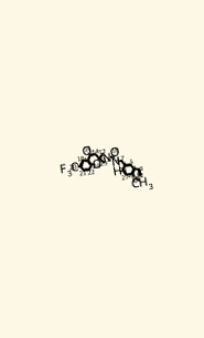 Cn1ccc2cc(CNC(=O)N3CC4(CC(=O)c5cc(C(F)(F)F)ccc5O4)C3)ccc21